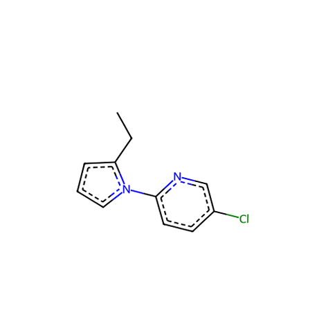 CCc1cccn1-c1ccc(Cl)cn1